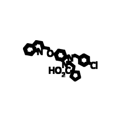 O=C(O)C1(Cc2nc3cc(OCc4ccc5ccccc5n4)ccc3n2Cc2ccc(Cl)cc2)CCCC1